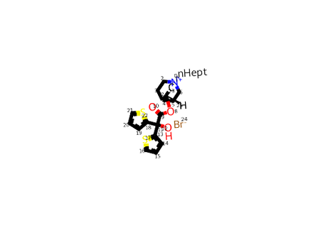 CCCCCCC[N+]12CCC(CC1)[C@@H](OC(=O)C(O)(c1cccs1)c1cccs1)C2.[Br-]